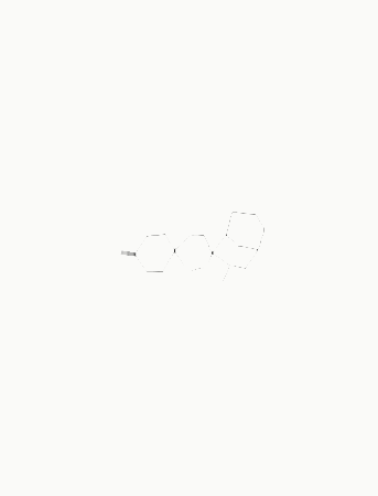 CC1CC2CCCC(C2)C12CCC1(CCC(=O)CC1)OO2